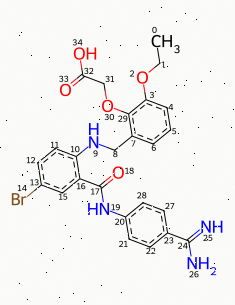 CCOc1cccc(CNc2ccc(Br)cc2C(=O)Nc2ccc(C(=N)N)cc2)c1OCC(=O)O